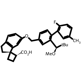 CO[C@@H](c1cc(COc2ccc3c(c2)[C@@]2(CC3)CC[C@H]2C(=O)O)ccc1-c1cc(C)ccc1F)C(C)(C)C